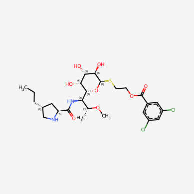 CCC[C@H]1CN[C@H](C(=O)N[C@@H]([C@H]2O[C@H](SCCOC(=O)c3cc(Cl)cc(Cl)c3)[C@H](O)[C@@H](O)[C@H]2O)[C@@H](C)OC)C1